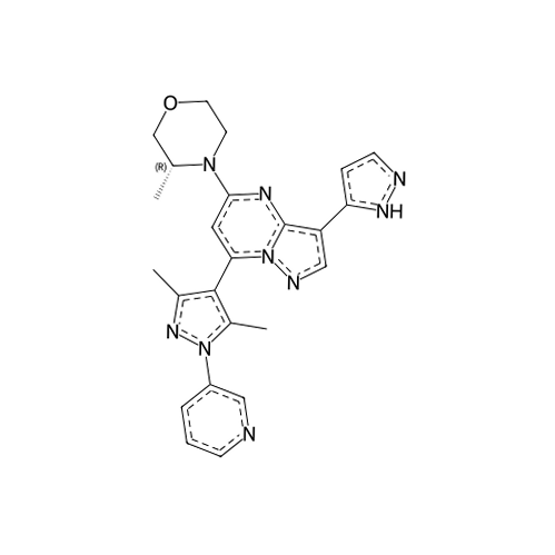 Cc1nn(-c2cccnc2)c(C)c1-c1cc(N2CCOC[C@H]2C)nc2c(-c3ccn[nH]3)cnn12